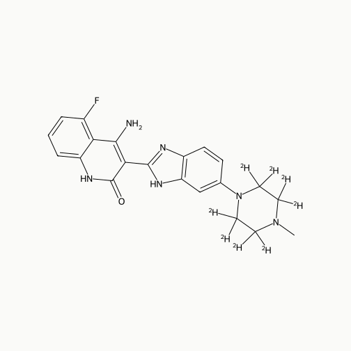 [2H]C1([2H])N(C)C([2H])([2H])C([2H])([2H])N(c2ccc3nc(-c4c(N)c5c(F)cccc5[nH]c4=O)[nH]c3c2)C1([2H])[2H]